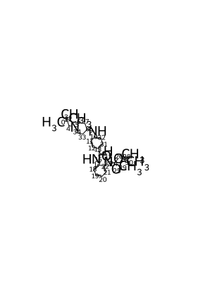 CC(C)(C)CN1CCC(Nc2ccc(C(=O)Nc3ccccc3NC(=O)OC(C)(C)C)cc2)CC1